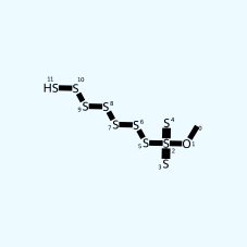 COS(=S)(=S)SSSSSSS